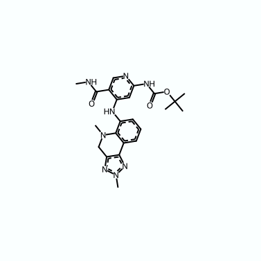 CNC(=O)c1cnc(NC(=O)OC(C)(C)C)cc1Nc1cccc2c1N(C)Cc1nn(C)nc1-2